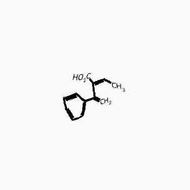 C=C(/C(=C\C)C(=O)O)c1ccccc1